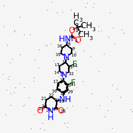 CC(C)(C)OC(=O)NC1CCN(C2CCN(c3ccc(NC4CCC(=O)NC4=O)cc3F)CC2F)CC1